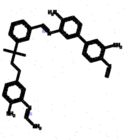 C=Nc1ccc(-c2ccc(N)c(/N=C/c3cccc(C(C)(C)CCc4ccc(N)c(/N=C/N)c4)c3)c2)cc1N